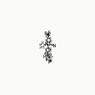 C[C@H](NS(=O)(=O)c1ccc(-c2c(C#N)c3ccc(OC(F)(F)F)cc3n2C2CCCC2)nc1)C(F)(F)F